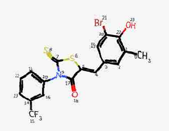 Cc1cc(/C=C2\SC(=S)N(c3cccc(C(F)(F)F)c3)C2=O)cc(Br)c1O